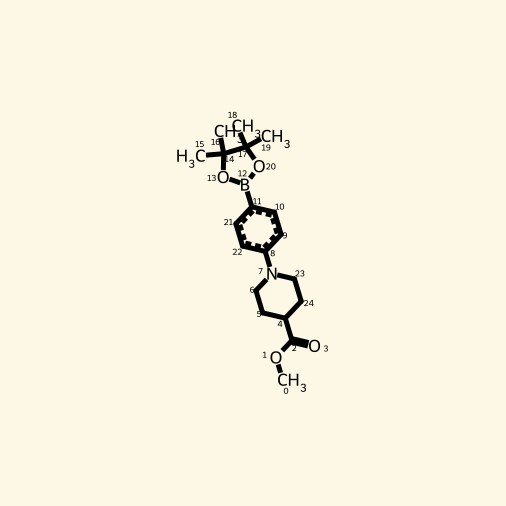 COC(=O)C1CCN(c2ccc(B3OC(C)(C)C(C)(C)O3)cc2)CC1